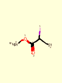 CCCOC(=O)C(I)CC